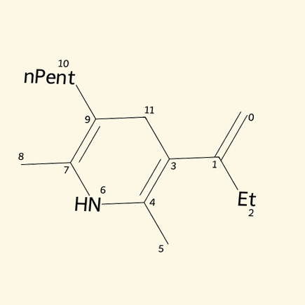 C=C(CC)C1=C(C)NC(C)=C(CCCCC)C1